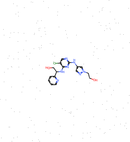 OCCn1cc(Nc2ncc(Cl)c(NC(CO)c3ccccn3)n2)cn1